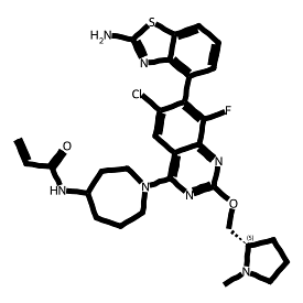 C=CC(=O)NC1CCCN(c2nc(OC[C@@H]3CCCN3C)nc3c(F)c(-c4cccc5sc(N)nc45)c(Cl)cc23)CC1